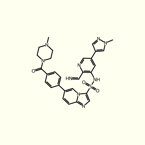 CN1CCN(C(=O)c2ccc(-c3ccc4ncc(S(=O)(=O)Nc5cc(-c6cnn(C)c6)cnc5C=N)n4c3)cc2)CC1